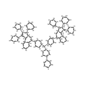 c1ccc(-c2ccc(N(c3ccc(-c4cc5c(-c6ccccc6)c(-c6ccccc6)n(-c6ccccc6)c5c5ccccc45)cc3)c3ccc(-c4cc5c(-c6ccccc6)c(-c6ccccc6)n(-c6ccccc6)c5c5ccccc45)cc3)cc2)cc1